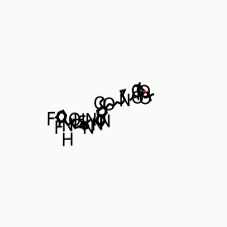 COc1cc2c(Nc3ncc(CC(=O)Nc4cccc(F)c4F)s3)ncnc2cc1OCCCN(CCOP(=O)(OC(C)(C)C)OC(C)(C)C)C1CC1